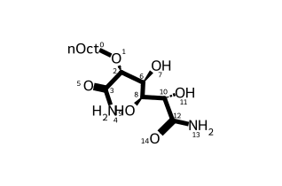 CCCCCCCCO[C@@H](C(N)=O)[C@@H](O)[C@H](O)[C@H](O)C(N)=O